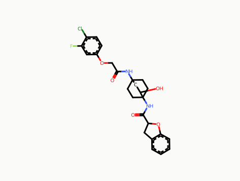 O=C(COc1ccc(Cl)c(F)c1)NC12CCC(NC(=O)C3Cc4ccccc4O3)(CC1)C(O)C2